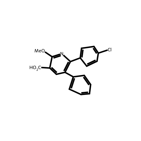 COc1nc(-c2ccc(Cl)cc2)c(-c2ccccc2)cc1C(=O)O